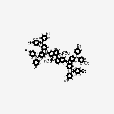 CCCCOc1ccc2cc(-n3c4ccc(N(c5ccc(CC)cc5)c5ccc(CC)cc5)cc4c4cc(N(c5ccc(CC)cc5)c5ccc(CC)cc5)ccc43)ccc2c1-c1c(OCCCC)ccc2cc(-n3c4ccc(N(c5ccc(CC)cc5)c5ccc(CC)cc5)cc4c4cc(N(c5ccc(CC)cc5)c5ccc(CC)cc5)ccc43)ccc12